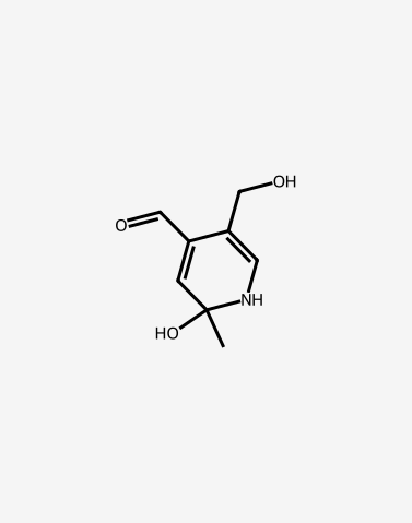 CC1(O)C=C(C=O)C(CO)=CN1